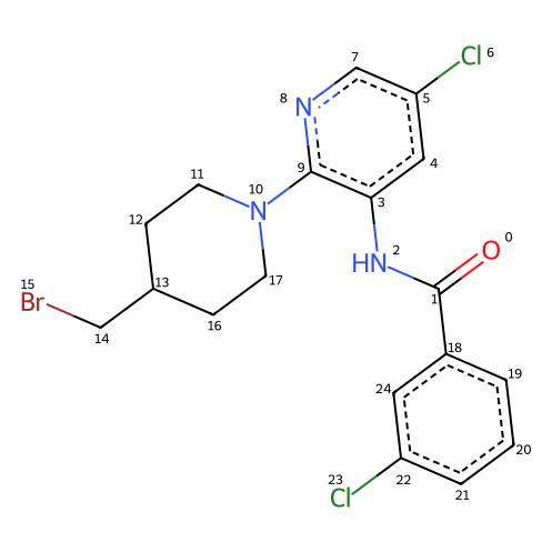 O=C(Nc1cc(Cl)cnc1N1CCC(CBr)CC1)c1cccc(Cl)c1